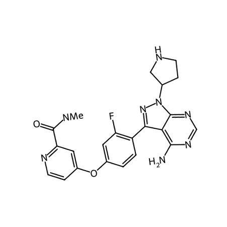 CNC(=O)c1cc(Oc2ccc(-c3nn(C4CCNC4)c4ncnc(N)c34)c(F)c2)ccn1